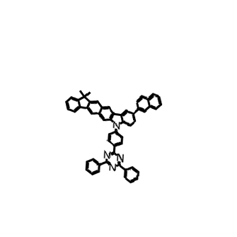 CC1(C)c2ccccc2-c2cc3cc4c(cc3cc21)c1cc(-c2ccc3ccccc3c2)ccc1n4-c1ccc(-c2nc(-c3ccccc3)nc(-c3ccccc3)n2)cc1